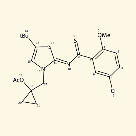 COc1ccc(Cl)cc1C(=S)/N=c1\sc(C(C)(C)C)cn1CC1(OC(C)=O)CC1